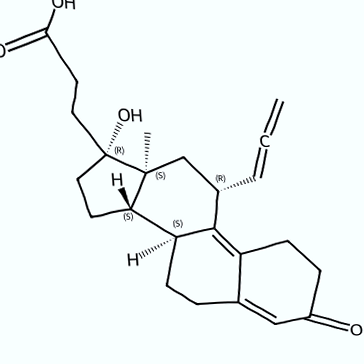 C=C=C[C@H]1C[C@@]2(C)[C@@H](CC[C@@]2(O)CCC(=O)O)[C@@H]2CCC3=CC(=O)CCC3=C21